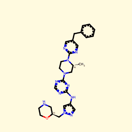 C[C@@H]1CN(c2ncnc(Nc3cnn(C[C@@H]4CNCCO4)c3)n2)CCN1c1ncc(Cc2ccccc2)cn1